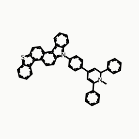 CN1C(c2ccccc2)=CC(c2ccc(-n3c4ccccc4c4c5ccc6sc7ccccc7c6c5ccc43)cc2)=CC1c1ccccc1